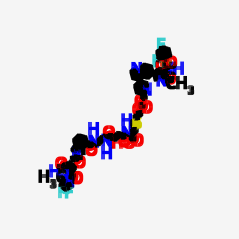 COc1ncc(-c2ccc3nccc(-c4ccc(COC(=O)OCCSSCC(NC(=O)CCC(=O)NCCNC(=O)c5cccc6c5CN(C(=O)C[C@@H]5C[C@@H](C(=O)N7CC(F)(F)C[C@H]7C)NC5=O)C6)C(=O)O)nc4)c3c2)cc1NS(=O)(=O)c1ccc(F)cc1F